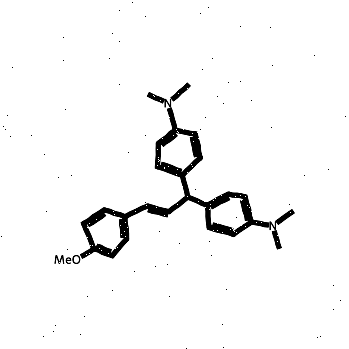 COc1ccc(C=CC(c2ccc(N(C)C)cc2)c2ccc(N(C)C)cc2)cc1